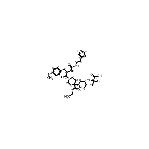 CCOC(=O)C1(C2CCCCC2)CCN(C(=O)C(Cc2ccc(OC)cc2)NC(=O)NCCc2c[nH]cn2)CC1.O=C(O)C(F)(F)F